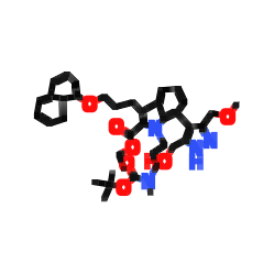 CCOC(=O)c1c(CCCOc2cccc3ccccc23)c2cccc(-c3c(COC)n[nH]c3CO)c2n1CCCN(C)C(=O)OC(C)(C)C